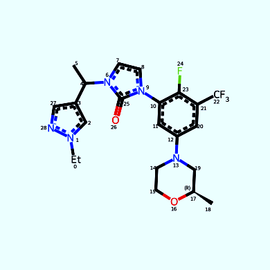 CCn1cc(C(C)n2ccn(-c3cc(N4CCO[C@H](C)C4)cc(C(F)(F)F)c3F)c2=O)cn1